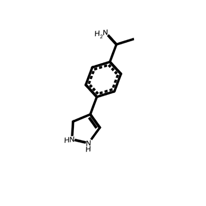 CC(N)c1ccc(C2=CNNC2)cc1